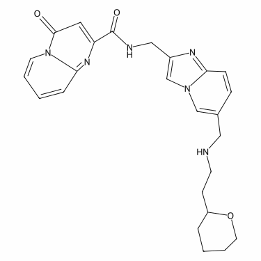 O=C(NCc1cn2cc(CNCCC3CCCCO3)ccc2n1)c1cc(=O)n2ccccc2n1